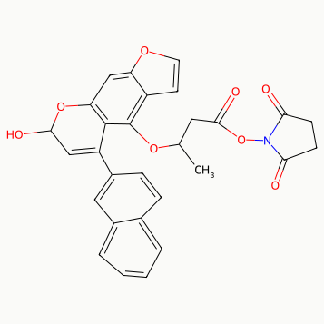 CC(CC(=O)ON1C(=O)CCC1=O)Oc1c2c(cc3occc13)OC(O)C=C2c1ccc2ccccc2c1